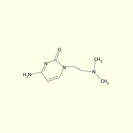 CN(C)CCn1ccc(N)nc1=O